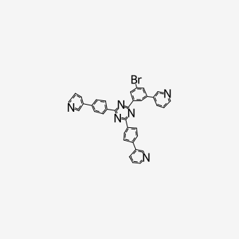 Brc1cc(-c2cccnc2)cc(-c2nc(-c3ccc(-c4cccnc4)cc3)nc(-c3ccc(-c4cccnc4)cc3)n2)c1